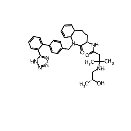 C[C@@H](O)CNC(C)(C)CC(=O)N[C@@H]1CCC2C=CC=CC2N(Cc2ccc(-c3ccccc3-c3nnn[nH]3)cc2)C1=O